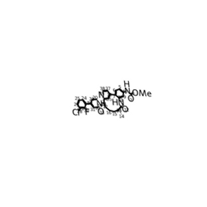 COC(=O)Nc1ccc2c(c1)NC(=O)[C@H](C)CCC[C@H](N1CCC(c3cccc(Cl)c3F)=CC1=O)c1cc-2ccn1